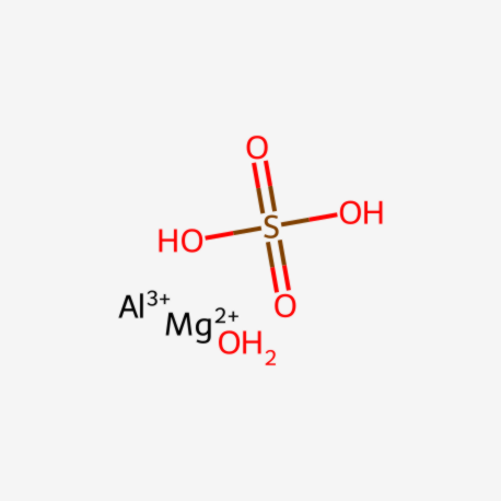 O.O=S(=O)(O)O.[Al+3].[Mg+2]